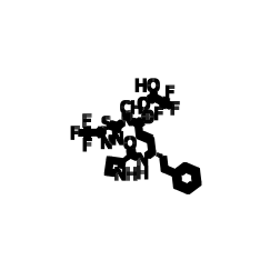 CN(C(=O)C=C[C@H](CCc1ccccc1)NC(=O)[C@@H]1CCN1)c1nnc(C(F)(F)F)s1.O=C(O)C(F)(F)F